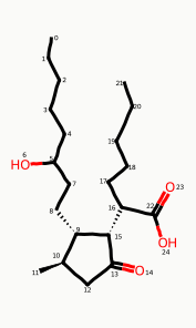 CCCCCC(O)CC[C@H]1[C@H](C)CC(=O)[C@H]1C(CCCCC)C(=O)O